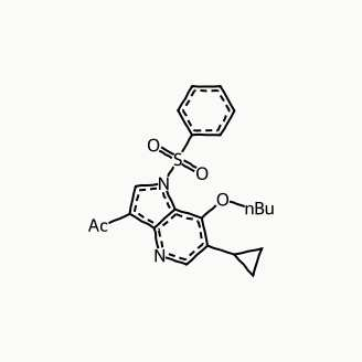 CCCCOc1c(C2CC2)cnc2c(C(C)=O)cn(S(=O)(=O)c3ccccc3)c12